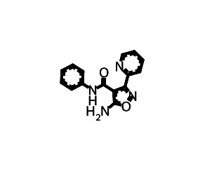 Nc1onc(-c2ccccn2)c1C(=O)Nc1ccccc1